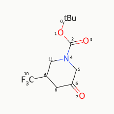 CC(C)(C)OC(=O)N1CC(=O)CC(C(F)(F)F)C1